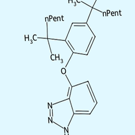 CCCCCC(C)(C)c1ccc(Oc2cccc3[nH]nnc23)c(C(C)(C)CCCCC)c1